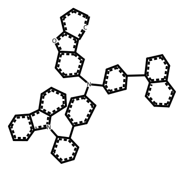 c1ccc(-n2c3ccccc3c3ccccc32)c(-c2ccc(N(c3ccc(-c4cccc5ccccc45)cc3)c3ccc4oc5ccccc5c4c3)cc2)c1